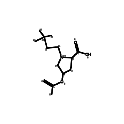 C=C(C)OC1CC(C(=O)O)N(CCC(C)(C)C)C1